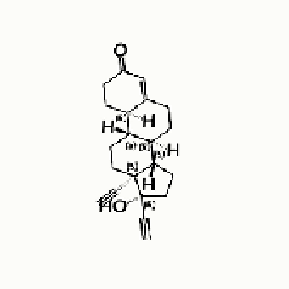 C#C[C@]12CC[C@H]3[C@@H](CCC4=CC(=O)CC[C@@H]43)[C@@H]1CC[C@@]2(O)C#C